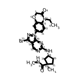 CCN1C(=O)COc2cc(-n3nc(Br)c4cnc(N[C@@H]5CC[C@@](C)(C(=O)NC)C5)nc43)ccc21